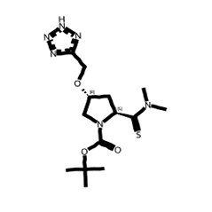 CN(C)C(=S)[C@@H]1C[C@@H](OCc2nn[nH]n2)CN1C(=O)OC(C)(C)C